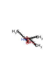 CCCCCCCCCCCCNC(CCC(=O)O)C(=O)OCC(CCCCCCCC)CCCCCCCCCC